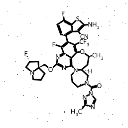 Cc1ncn(C(=O)N2CCCN3c4nc(OC[C@@]56CCCN5C[C@H](F)C6)nc5c(F)c(-c6ccc(F)c7sc(N)c(C#N)c67)c(C(F)(F)F)c(c45)O[C@@H](C)C[C@H]3C2)n1